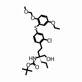 CCC[C@@](CO)(CCc1ccc(Sc2cc(OCC)ccc2OCOC)cc1Cl)NC(=O)OC(C)(C)C